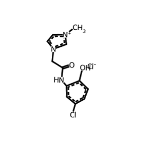 C[n+]1ccn(CC(=O)Nc2cc(Cl)ccc2O)c1.[Cl-]